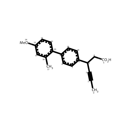 CC#CC(CC(=O)O)c1ccc(-c2ccc(OC)cc2C)cc1